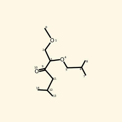 COCC(OCC(C)C)C(=O)CC(C)C